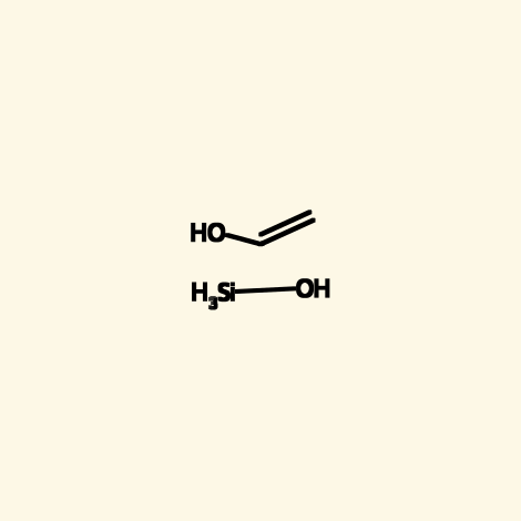 C=CO.O[SiH3]